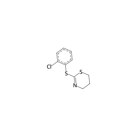 Clc1ccccc1SC1=NCCCS1